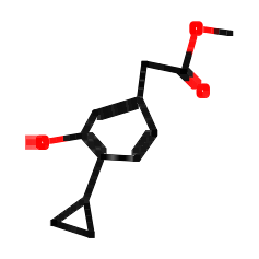 COC(=O)Cc1ccc(C2CC2)c(O)c1